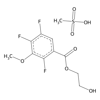 COc1c(F)c(F)cc(C(=O)OCCO)c1F.CS(=O)(=O)O